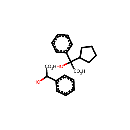 O=C(O)C(O)(c1ccccc1)C1CCCC1.O=C(O)C(O)c1ccccc1